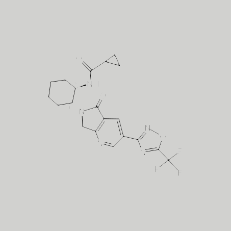 O=C(N[C@@H]1CCCC[C@H]1N1Cc2ncc(-c3noc(C(F)(F)F)n3)cc2C1=O)C1CC1